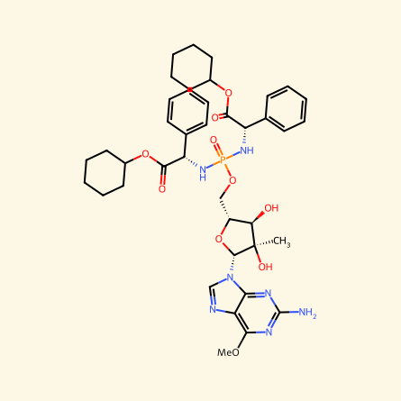 COc1nc(N)nc2c1ncn2[C@@H]1O[C@H](COP(=O)(N[C@H](C(=O)OC2CCCCC2)c2ccccc2)N[C@H](C(=O)OC2CCCCC2)c2ccccc2)[C@@H](O)[C@@]1(C)O